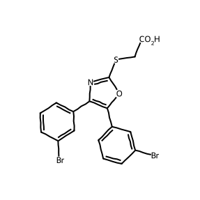 O=C(O)CSc1nc(-c2cccc(Br)c2)c(-c2cccc(Br)c2)o1